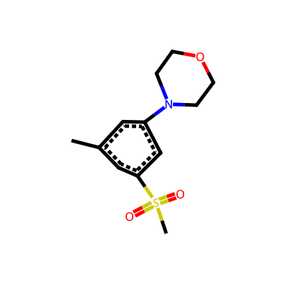 Cc1cc(N2CCOCC2)cc(S(C)(=O)=O)c1